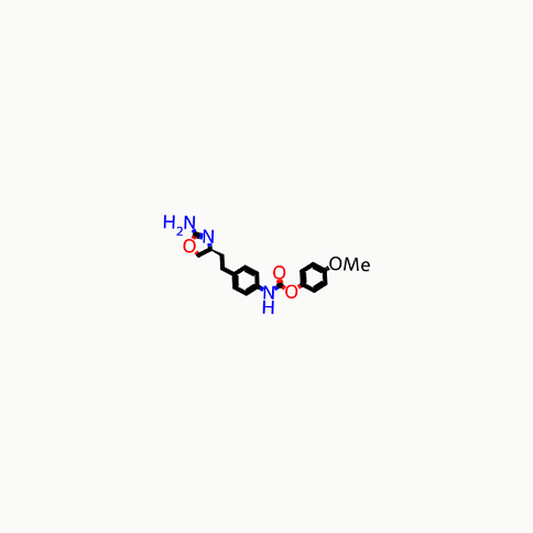 COc1ccc(OC(=O)Nc2ccc(CC[C@H]3COC(N)=N3)cc2)cc1